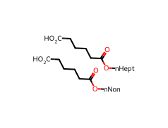 CCCCCCCCCOC(=O)CCCCC(=O)O.CCCCCCCOC(=O)CCCCC(=O)O